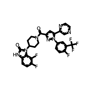 O=C(c1cc(-c2cnccn2)n(-c2ccc(F)c(C(F)(F)F)c2)n1)N1CCC(n2c(=O)[nH]c3ccc(F)c(F)c32)CC1